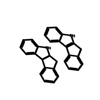 c1ccc2c(c1)CC1Nc3ccccc3C21.c1ccc2c(c1)Cc1[nH]c3ccccc3c1-2